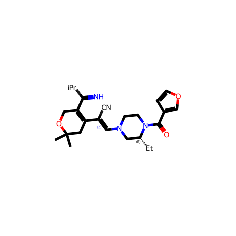 CC[C@@H]1CN(/C=C(\C#N)C2=C(C(=N)C(C)C)COC(C)(C)C2)CCN1C(=O)c1ccoc1